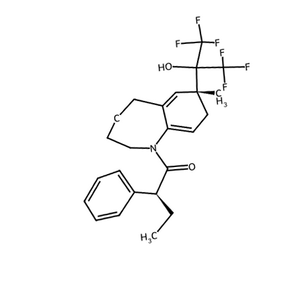 CC[C@H](C(=O)N1CCCCC2=C[C@](C)(C(O)(C(F)(F)F)C(F)(F)F)CC=C21)c1ccccc1